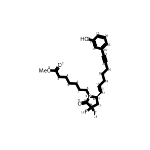 COC(=O)CCCCCCN1C(=O)C(F)(F)C[C@@H]1/C=C/CCCC#Cc1cccc(O)c1